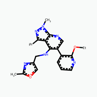 CCOc1ncccc1-c1cnc2c(c(C(C)C)nn2C)c1NCc1coc(C)n1